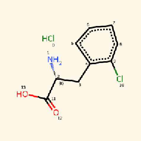 Cl.N[C@H](Cc1ccccc1Cl)C(=O)O